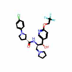 O=C(N[C@H](CN1CCCC1)[C@H](O)c1ccc(OCC(F)(F)F)nc1)[C@@H]1CCN(c2ccc(Cl)cc2)C1